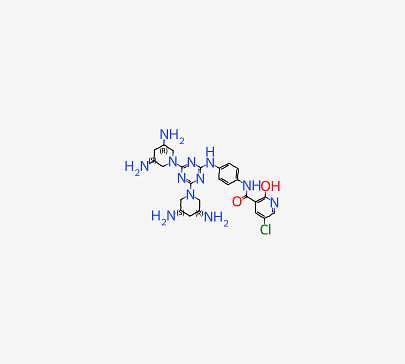 N[C@@H]1C[C@H](N)CN(c2nc(Nc3ccc(NC(=O)c4cc(Cl)cnc4O)cc3)nc(N3C[C@H](N)C[C@H](N)C3)n2)C1